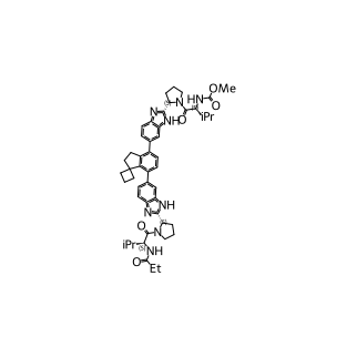 CCC(=O)N[C@H](C(=O)N1CCC[C@H]1c1nc2ccc(-c3ccc(-c4ccc5nc([C@@H]6CCCN6C(=O)[C@@H](NC(=O)OC)C(C)C)[nH]c5c4)c4c3C3(CCC3)CC4)cc2[nH]1)C(C)C